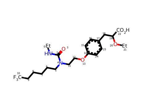 CCNC(=O)N(CCCCCC(F)(F)F)CCOc1ccc(CC(OCC)C(=O)O)cc1